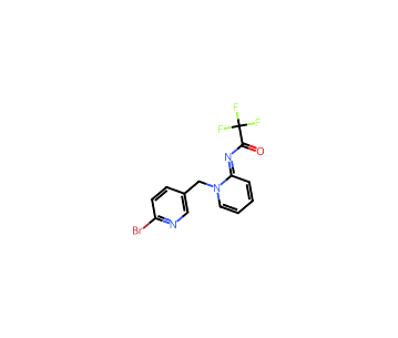 O=C(/N=c1\ccccn1Cc1ccc(Br)nc1)C(F)(F)F